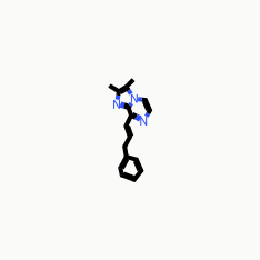 Cc1nc2c(C=CCc3ccccc3)nccn2c1C